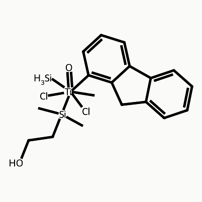 C[Si](C)(CCO)[Ti]([CH3])(=[O])([SiH3])([Cl])([Cl])[c]1cccc2c1Cc1ccccc1-2